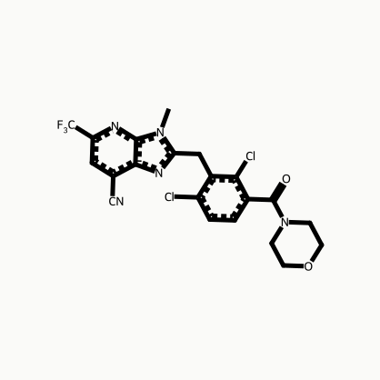 Cn1c(Cc2c(Cl)ccc(C(=O)N3CCOCC3)c2Cl)nc2c(C#N)cc(C(F)(F)F)nc21